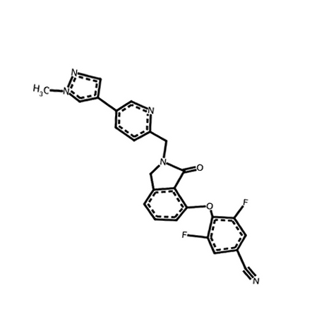 Cn1cc(-c2ccc(CN3Cc4cccc(Oc5c(F)cc(C#N)cc5F)c4C3=O)nc2)cn1